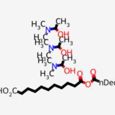 CC(O)N(C)C.CC(O)N(C)C.CC(O)N(C)C.CCCCCCCCCCC(=O)OC(=O)CCCCCCCCCC(=O)O